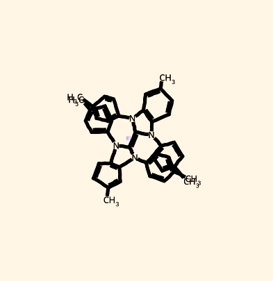 Cc1ccc(N2/C(=C3/N(c4ccc(C)cc4)c4ccc(C)cc4N3c3ccc(C)cc3)N(c3ccc(C)cc3)c3cc(C)ccc32)cc1